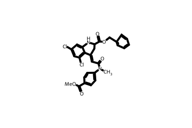 COC(=O)c1ccc(N(C)C(=O)/C=C2\CC(C(=O)OCc3ccccc3)Nc3cc(Cl)cc(Cl)c32)cc1